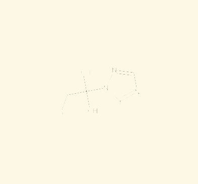 CC(C)(CO)n1cncn1